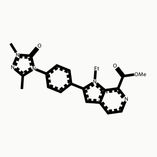 CCn1c(-c2ccc(-n3c(C)nn(C)c3=O)cc2)cc2ccnc(C(=O)OC)c21